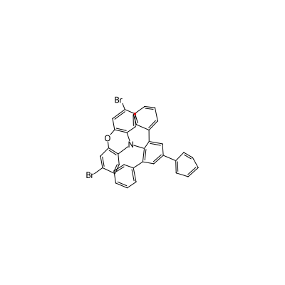 Brc1ccc2c(c1)Oc1cc(Br)ccc1N2c1c(-c2ccccc2)cc(-c2ccccc2)cc1-c1ccccc1